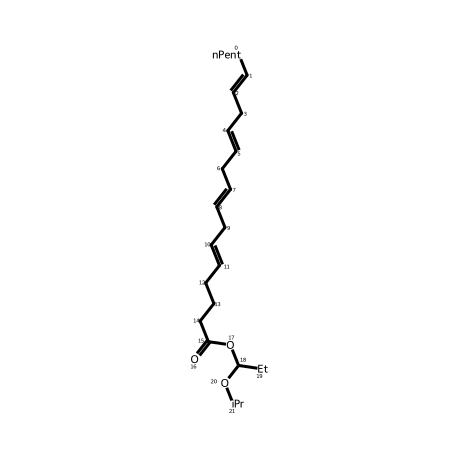 CCCCCC=CCC=CCC=CCC=CCCCC(=O)OC(CC)OC(C)C